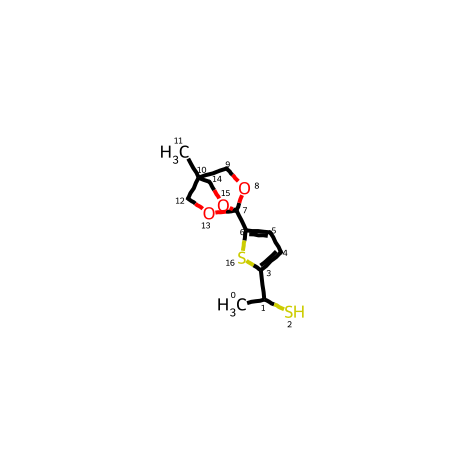 CC(S)c1ccc(C23OCC(C)(CO2)CO3)s1